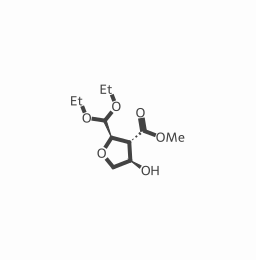 CCOC(OCC)[C@@H]1OC[C@H](O)[C@H]1C(=O)OC